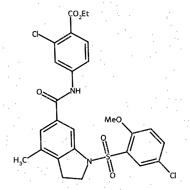 CCOC(=O)c1ccc(NC(=O)c2cc(C)c3c(c2)N(S(=O)(=O)c2cc(Cl)ccc2OC)CC3)cc1Cl